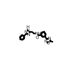 Cc1nc(-c2cccc(C(=O)NCCc3nc(-c4ccccc4)n[nH]3)c2)no1